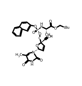 C#C[C@@]1(CO[P@@](=O)(N[C@@H](C)C(=O)OCC(C)(C)C)Oc2ccc3ccccc3c2)C=C[C@H](n2cc(C)c(=O)[nH]c2=O)O1